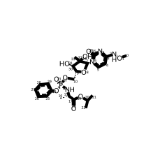 CONc1ccn([C@@H]2O[C@H](COP(=O)(N[C@@H](C)C(=O)OC(C)C)Oc3ccccc3)[C@H](O)C2(C)O)c(=O)n1